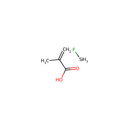 C=C(C)C(=O)O.F[SiH3]